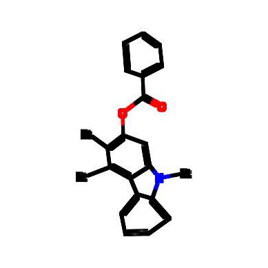 CCc1c(OC(=O)c2ccccc2)cc2c(c1CC)c1ccccc1n2CC